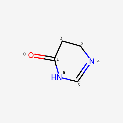 O=C1CCN=[C]N1